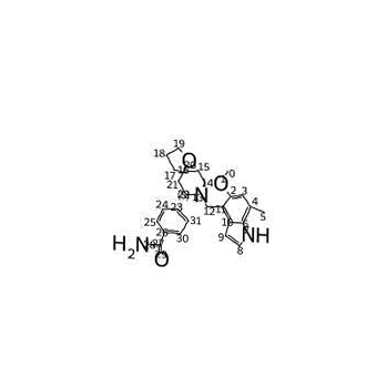 COc1cc(C)c2[nH]ccc2c1CN1CCC2(CCCO2)C[C@H]1c1ccc(C(N)=O)cc1